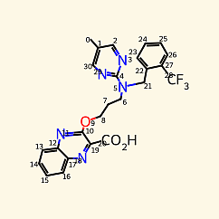 Cc1cnc(N(CCCOc2nc3ccccc3nc2C(=O)O)Cc2ccccc2C(F)(F)F)nc1